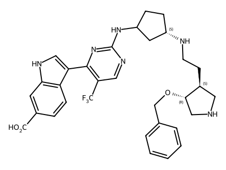 O=C(O)c1ccc2c(-c3nc(NC4CC[C@H](NCC[C@H]5CNC[C@@H]5OCc5ccccc5)C4)ncc3C(F)(F)F)c[nH]c2c1